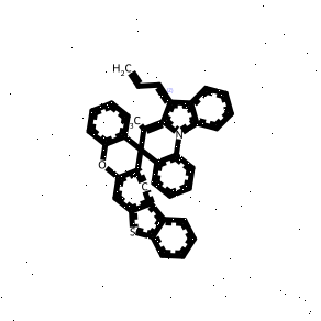 C=C/C=c1\c2n(c3ccccc13)-c1ccccc1C1(C=2C)c2ccccc2Oc2cc3sc4ccccc4c3cc21